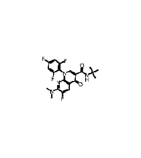 CN(C)c1nc2c(cc1F)c(=O)c(C(=O)NC(C)(C)C)cn2-c1c(F)cc(F)cc1F